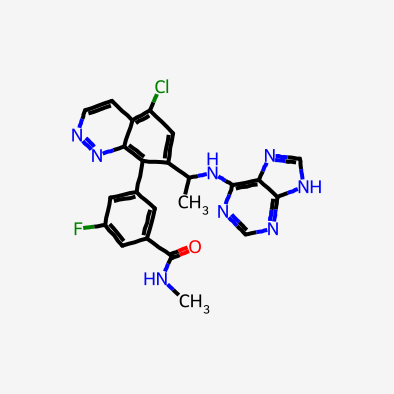 CNC(=O)c1cc(F)cc(-c2c(C(C)Nc3ncnc4[nH]cnc34)cc(Cl)c3ccnnc23)c1